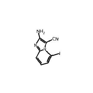 N#Cc1c(N)nc2cccc(I)n12